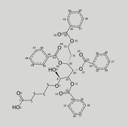 O=C(O)CCCCO[C@@H](O)C(OC(=O)c1ccccc1)[C@@H](OC(=O)c1ccccc1)[C@@H](CCOC(=O)c1ccccc1)OC(=O)c1ccccc1